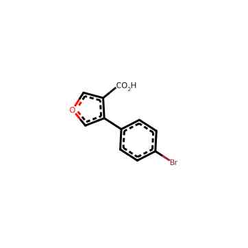 O=C(O)c1cocc1-c1ccc(Br)cc1